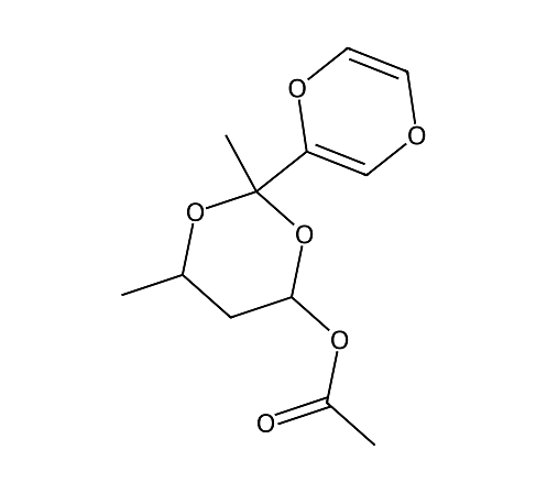 CC(=O)OC1CC(C)OC(C)(C2=COC=CO2)O1